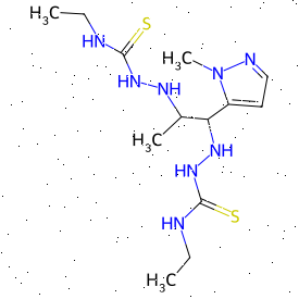 CCNC(=S)NNC(C)C(NNC(=S)NCC)c1ccnn1C